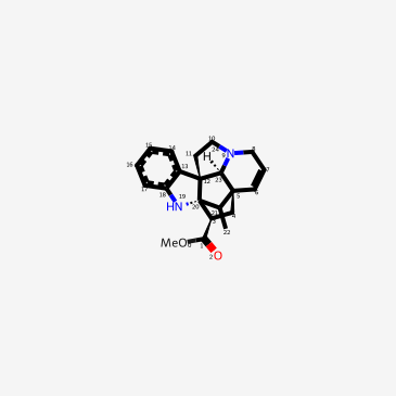 COC(=O)[C@@H]1C[C@@]23C=CCN4CC[C@@]5(c6ccccc6N[C@]15C2C)[C@@H]43